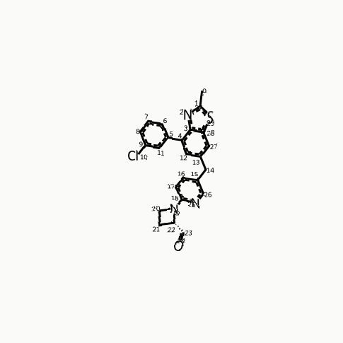 Cc1nc2c(-c3cccc(Cl)c3)cc(Cc3ccc(N4CC[C@H]4C=O)nc3)cc2s1